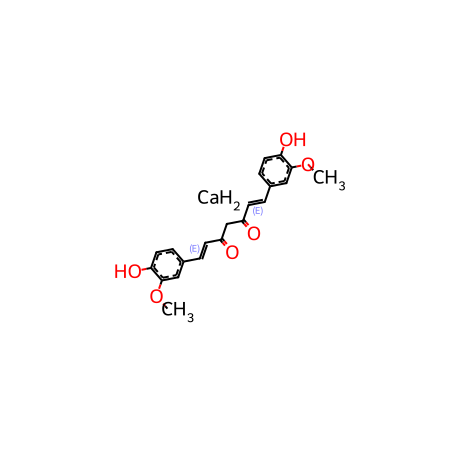 COc1cc(/C=C/C(=O)CC(=O)/C=C/c2ccc(O)c(OC)c2)ccc1O.[CaH2]